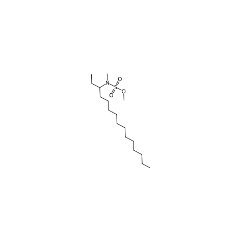 CCCCCCCCCCCCC(CC)N(C)S(=O)(=O)OC